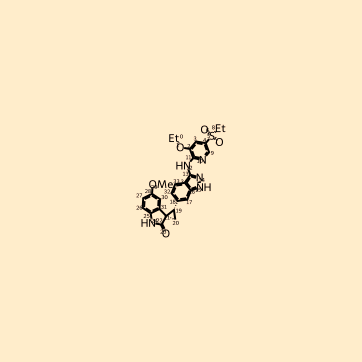 CCOc1cc(S(=O)(=O)CC)cnc1Nc1n[nH]c2cc([C@@H]3C[C@@]34C(=O)Nc3ccc(OC)cc34)ccc12